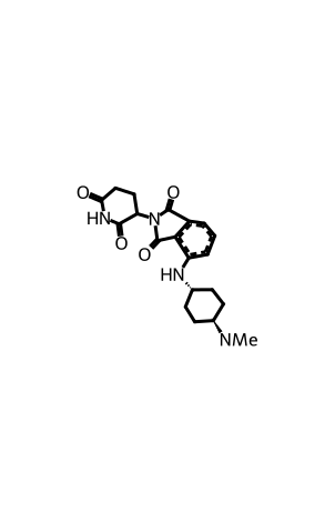 CN[C@H]1CC[C@H](Nc2cccc3c2C(=O)N(C2CCC(=O)NC2=O)C3=O)CC1